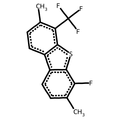 Cc1ccc2c(sc3c(C(F)(F)F)c(C)ccc32)c1F